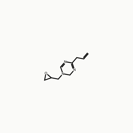 C=CCC1=NCN(CC2CO2)C=N1